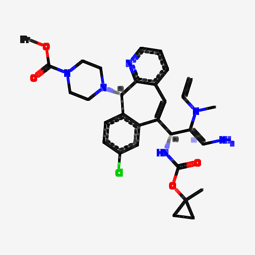 C=CN(C)/C(=C\N)[C@H](NC(=O)OC1(C)CC1)C1=Cc2cccnc2[C@@H](N2CCN(C(=O)OC(C)C)CC2)c2ccc(Cl)cc21